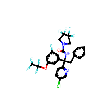 O=C(NC(Cc1ccccc1)(c1cc(F)cc(OC(F)(F)C(F)F)c1)c1ccc(Cl)cn1)N1CC(F)(F)C(F)(F)C1